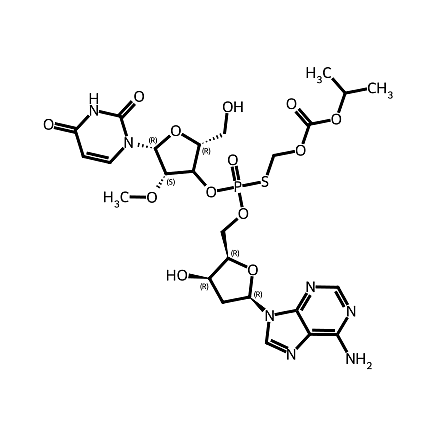 CO[C@H]1C(OP(=O)(OC[C@H]2O[C@@H](n3cnc4c(N)ncnc43)C[C@H]2O)SCOC(=O)OC(C)C)[C@@H](CO)O[C@H]1n1ccc(=O)[nH]c1=O